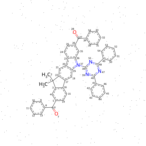 CC1(C)c2cc(C(=O)c3ccccc3)ccc2-c2cc3c(cc21)c1ccc(C(=O)c2ccccc2)cc1n3-c1nc(-c2ccccc2)nc(-c2ccccc2)n1